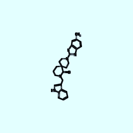 Cc1ccc2nc(N3CCC4(CCCN(Cc5c[nH]c6ccccc56)C4=O)CC3)sc2c1